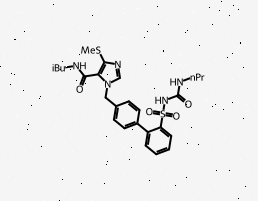 CCCNC(=O)NS(=O)(=O)c1ccccc1-c1ccc(Cn2cnc(SC)c2C(=O)NC(C)CC)cc1